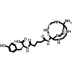 NC12CNCCNCC(NC(=O)CCCC(=O)N[C@@H](Cc3ccc(O)cc3)C(=O)O)(CNCCNC1)CNCCNC2